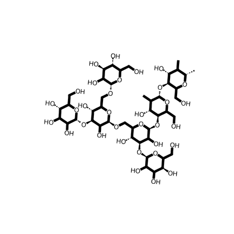 CC1[C@H](O[C@@H]2C(CO)O[C@@H](C)C(C)[C@H]2O)OC(CO)[C@@H](O[C@@H]2OC(CO[C@@H]3OC(CO[C@H]4OC(CO)[C@@H](O)[C@H](O)C4O)[C@@H](O)[C@H](O[C@H]4OC(CO)[C@@H](O)C(O)C4O)C3O)[C@@H](O)[C@H](O[C@H]3OC(CO)[C@@H](O)C(O)C3O)C2O)[C@@H]1O